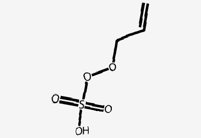 C=CCOOS(=O)(=O)O